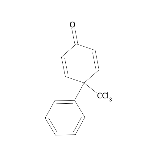 O=C1C=CC(c2ccccc2)(C(Cl)(Cl)Cl)C=C1